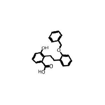 O=C(O)c1cccc(O)c1CCc1ccccc1OCc1ccccc1